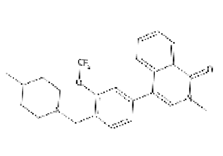 CC1CCN(Cc2ccc(-c3cn(C)c(=O)c4ccccc34)cc2OC(F)(F)F)CC1